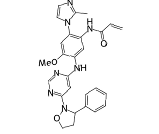 C=CC(=O)Nc1cc(Nc2cc(N3OCCC3c3ccccc3)ncn2)c(OC)cc1-n1ccnc1C